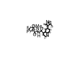 CO[C@@]1(C#N)CC(F)(F)CN1C(=O)CNC(=O)c1ccnc2ccc(-c3c(C)noc3C)cc12